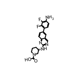 Nc1ccc(-c2ccc3nc(N[C@H]4CCCN(C(=O)O)C4)ncc3c2)c(F)c1F